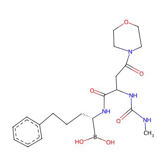 CNC(=O)NC(CC(=O)N1CCOCC1)C(=O)N[C@@H](CCCc1ccccc1)B(O)O